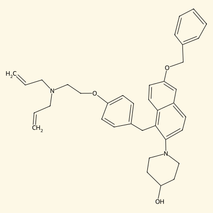 C=CCN(CC=C)CCOc1ccc(Cc2c(N3CCC(O)CC3)ccc3cc(OCc4ccccc4)ccc23)cc1